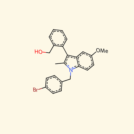 COc1ccc2c(c1)c(-c1ccccc1CO)c(C)n2Cc1ccc(Br)cc1